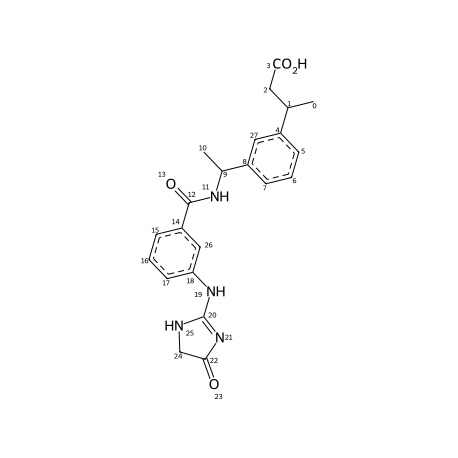 CC(CC(=O)O)c1cccc(C(C)NC(=O)c2cccc(NC3=NC(=O)CN3)c2)c1